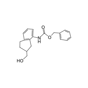 O=C(Nc1cccc2c1CC(CO)CC2)OCc1ccccc1